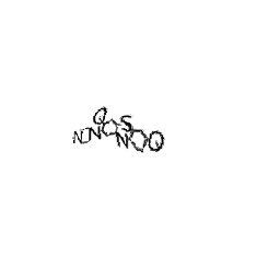 COc1ccc2nc3cc(N4CCN(C)CC4)c(=O)cc-3sc2c1